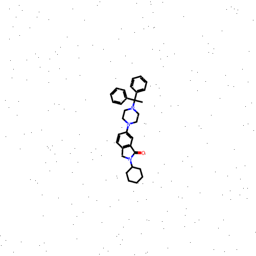 CC(c1ccccc1)(c1ccccc1)N1CCN(c2ccc3c(c2)C(=O)N(C2CCCCC2)C3)CC1